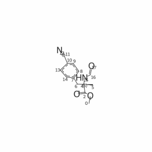 COC(=O)[C@](C)(Cc1ccc(C#N)cc1)NC=O